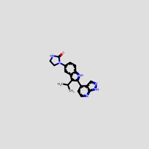 CC(C)c1c(-c2ccnc3[nH]ncc23)[nH]c2ccc(N3CCNC3=O)cc12